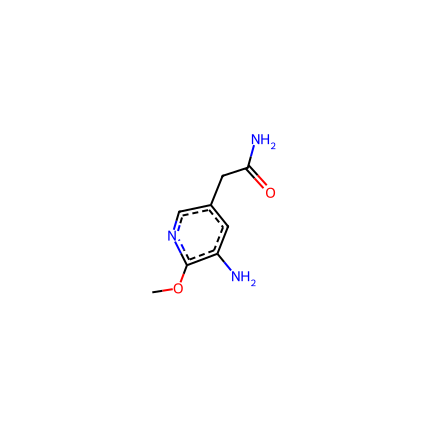 COc1ncc(CC(N)=O)cc1N